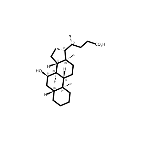 C[C@H](CCC(=O)O)[C@H]1CC[C@H]2[C@@H]3[C@H](O)C[C@H]4CCCC[C@]4(C)[C@H]3CC[C@]12C